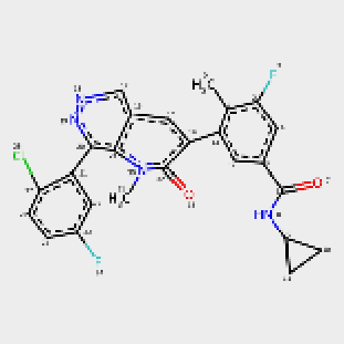 Cc1c(F)cc(C(=O)NC2CC2)cc1-c1cc2cnnc(-c3cc(F)ccc3Cl)c2n(C)c1=O